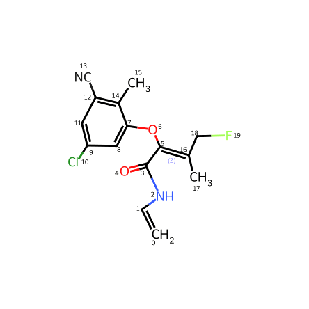 C=CNC(=O)/C(Oc1cc(Cl)cc(C#N)c1C)=C(\C)CF